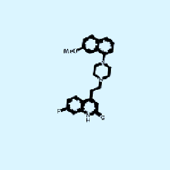 COc1ccc2cccc(N3CCN(CCc4cc(=O)[nH]c5cc(F)ccc45)CC3)c2c1